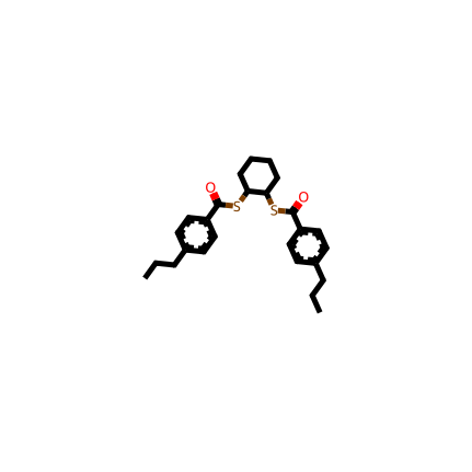 CCCc1ccc(C(=O)SC2CCCCC2SC(=O)c2ccc(CCC)cc2)cc1